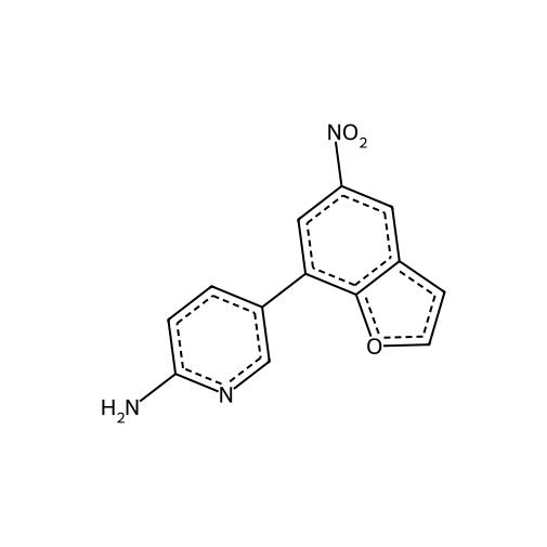 Nc1ccc(-c2cc([N+](=O)[O-])cc3ccoc23)cn1